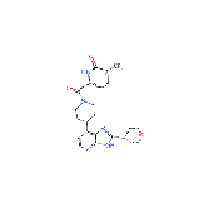 O=C(c1ccc(C(F)(F)F)c(=O)[nH]1)N1CCC(c2ccnc3[nH]c(C4CCOCC4)nc23)CC1